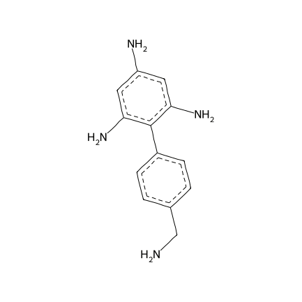 NCc1ccc(-c2c(N)cc(N)cc2N)cc1